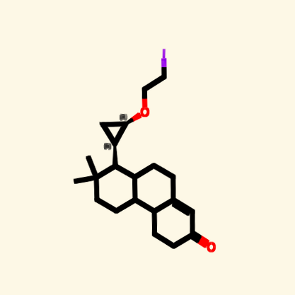 CC1(C)CCC2C3CCC(=O)C=C3CCC2C1[C@H]1C[C@H]1OCCI